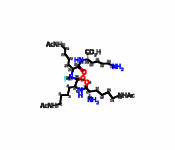 CC(=O)NCCCC[C@H](NC(=O)[C@@H](N)CCCCNC(C)=O)C(=O)N(F)[C@@H](CCCCNC(C)=O)C(=O)N[C@@H](CCCCN)C(=O)O